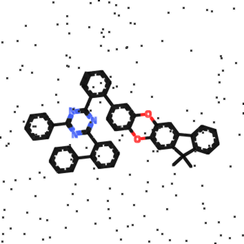 CC1(C)c2ccccc2-c2cc3c(cc21)Oc1ccc(-c2ccc#cc2-c2nc(-c4ccccc4)nc(-c4ccccc4-c4ccccc4)n2)cc1O3